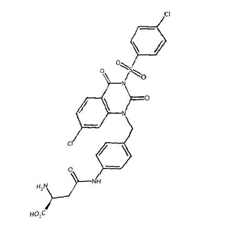 N[C@@H](CC(=O)Nc1ccc(Cn2c(=O)n(S(=O)(=O)c3ccc(Cl)cc3)c(=O)c3ccc(Cl)cc32)cc1)C(=O)O